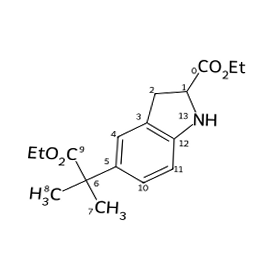 CCOC(=O)C1Cc2cc(C(C)(C)C(=O)OCC)ccc2N1